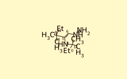 CCC(C)(C)N/C(=C\NN)C(C)(C)CC